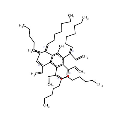 C=C/C(=C/CCCCCC)c1c(O)c(/C(C=C)=C\CCCCCC)c(/C(C=C)=C\CCCCCC)c(/C(C=C)=C\CCCCCC)c1/C(C=C)=C\CCCCCC